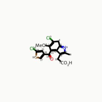 COC1=C(Cl)CC2=NC(C)=C(CC(=O)O)C2=C1C(=O)c1csc(Cl)c1